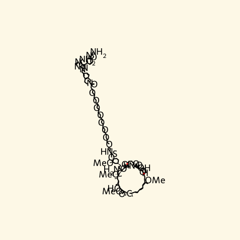 CO[C@H]1C[C@@H]2CC[C@@H](C)[C@@](O)(O2)C(=O)C(=O)N2CCCC[C@H]2C(=O)O[C@H]([C@H](N)C[C@@H]2CC[C@@H](OC(=S)NCCOCCOCCOCCOCCOCCOCCOCCOCCC(=O)N3CCc4cc(Cn5nc(-c6ccc7oc(N)nc7c6)c6c(N)ncnc65)ccc4C3)[C@H](OC)C2)C[C@@H](OC)[C@H](C)/C=C(\C)[C@@H](O)[C@@H](OC)C(=O)[C@H](C)C[C@H](C)/C=C/C=C/C=C/1C